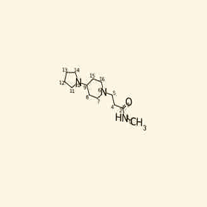 CNC(=O)CCN1CCC(N2CCCC2)CC1